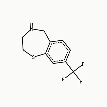 FC(F)(F)c1ccc2c(c1)SCCNC2